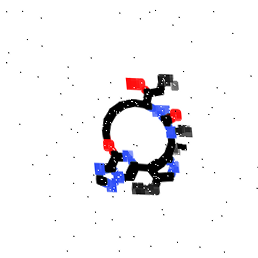 CCN1C(=O)NC(C(O)CC(F)(F)F)CCCCCOc2nc(cn3ncnc23)-c2cc(ncc2OC)[C@H]1C